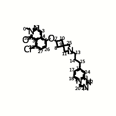 Cn1ncc2c(OC3CC4(C3)CN(CCCc3ccn5cnnc5c3)C4)ccc(Cl)c2c1=O